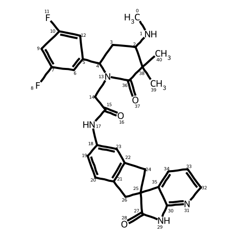 CNC1CC(c2cc(F)cc(F)c2)N(CC(=O)Nc2ccc3c(c2)CC2(C3)C(=O)Nc3ncccc32)C(=O)C1(C)C